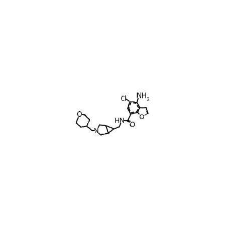 Nc1c(Cl)cc(C(=O)NCC2C3CN(CC4CCOCC4)CC23)c2c1CCO2